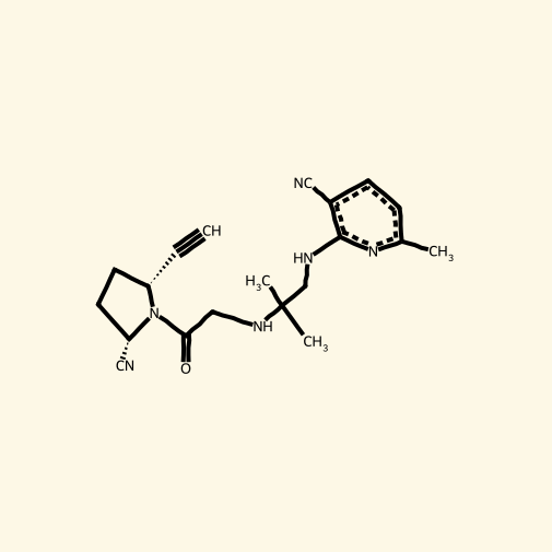 C#C[C@H]1CC[C@@H](C#N)N1C(=O)CNC(C)(C)CNc1nc(C)ccc1C#N